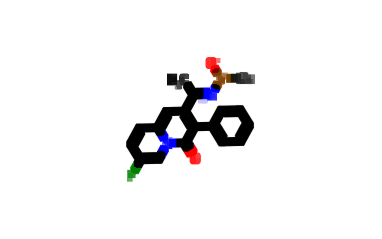 C/C(=N\[S+]([O-])C(C)(C)C)c1cc2ccc(F)cn2c(=O)c1-c1ccccc1